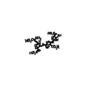 CCCCCc1c(SCC(NC(=O)CCC(N)C(=O)O)C(=O)N(C)C(=O)O)ccn1C(CCC(=O)NC(CS)C(=O)N(C)C(=O)O)C(=O)O